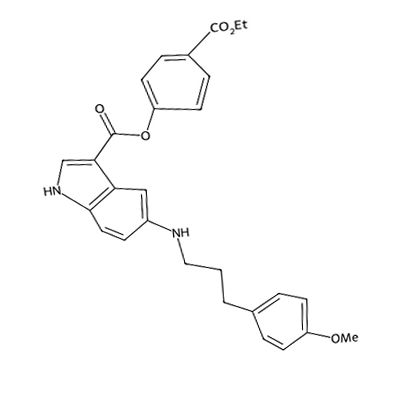 CCOC(=O)c1ccc(OC(=O)c2c[nH]c3ccc(NCCCc4ccc(OC)cc4)cc23)cc1